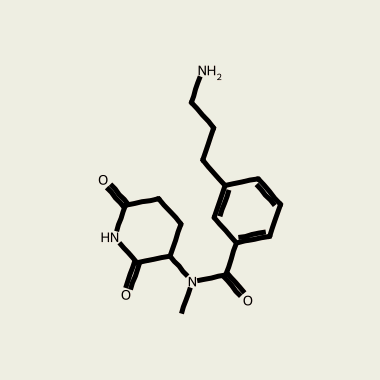 CN(C(=O)c1cccc(CCCN)c1)C1CCC(=O)NC1=O